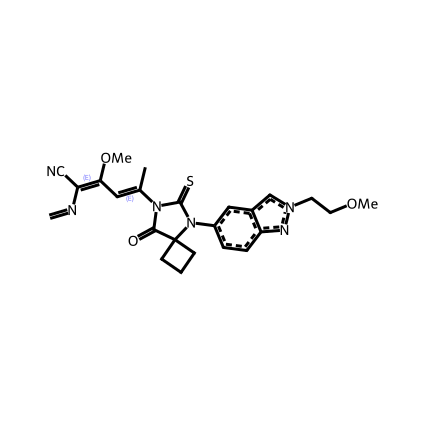 C=N/C(C#N)=C(\C=C(/C)N1C(=O)C2(CCC2)N(c2ccc3nn(CCOC)cc3c2)C1=S)OC